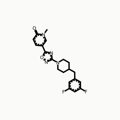 Cn1cc(-c2nc(N3CCC(Cc4cc(F)cc(F)c4)CC3)no2)ccc1=O